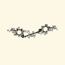 CC(C)[C@@H]1NC(=O)[C@@H](Cc2ccc(OCCCNC(=O)CC[C@H](N)C(=O)NCCCOc3ccc(C[C@H]4NC(=O)[C@H](CC(=O)O)NC(=O)CNC(=O)[C@H](CCCNC(=N)N)NC(=O)[C@H](C(C)C)NC4=O)cc3)cc2)NC(=O)[C@H](CC(=O)O)NC(=O)CNC(=O)[C@H](CCCNC(=N)N)NC1=O